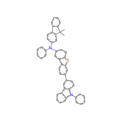 CC1(C)c2ccccc2-c2ccc(N(c3ccccc3)c3ccc4sc5cc(-c6ccc7c(c6)c6ccccc6n7-c6ccccc6)ccc5c4c3)cc21